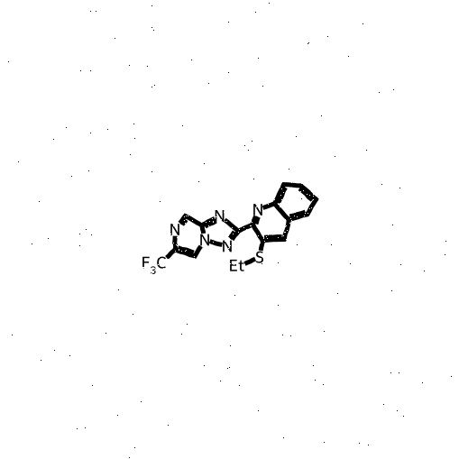 CCSc1cc2ccccc2nc1-c1nc2cnc(C(F)(F)F)cn2n1